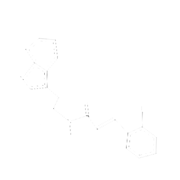 CN(C(=O)C=Cc1ccccc1F)[C@@H](Cc1c[nH]c2ccccc12)C(=O)O